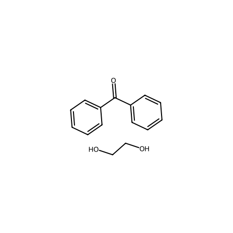 O=C(c1ccccc1)c1ccccc1.OCCO